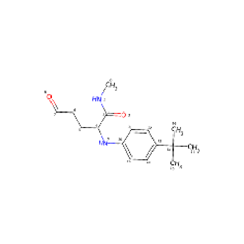 CNC(=O)C(CCC=O)Nc1ccc(C(C)(C)C)cc1